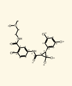 C[S+]([O-])CCNC(=O)c1cc(NC(=O)C2[C@@H](c3cc(Cl)cc(Cl)c3)C2(Cl)Cl)ccc1Cl